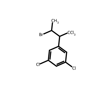 CC(Br)C(c1cc(Cl)cc(Cl)c1)C(Cl)(Cl)Cl